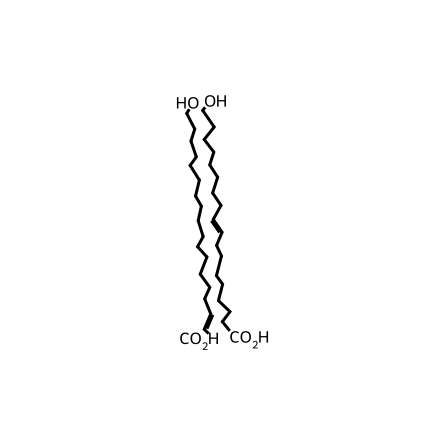 O=C(O)C=CCCCCCCCCCCCCCCCO.O=C(O)CCCCCCCC=CCCCCCCCCO